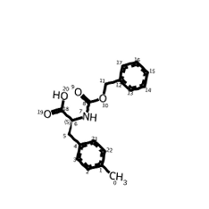 Cc1ccc(C[C@H](NC(=O)OCc2ccccc2)C(=O)O)cc1